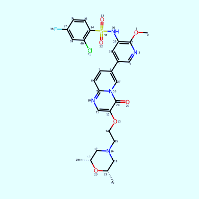 COc1ncc(-c2ccc3ncc(OCCN4C[C@@H](C)O[C@@H](C)C4)c(=O)n3c2)cc1NS(=O)(=O)c1ccc(F)cc1Cl